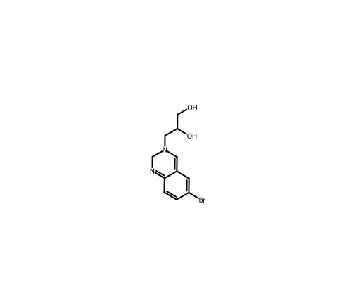 OCC(O)CN1C=c2cc(Br)ccc2=NC1